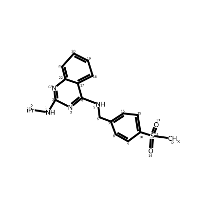 CC(C)Nc1nc(NCc2ccc(S(C)(=O)=O)cc2)c2ccccc2n1